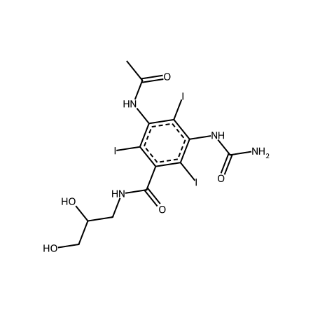 CC(=O)Nc1c(I)c(NC(N)=O)c(I)c(C(=O)NCC(O)CO)c1I